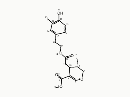 COC(=O)C1=COC[C@@H](C)[C@@H]1CC(=O)OCCc1ccc(O)c(I)c1